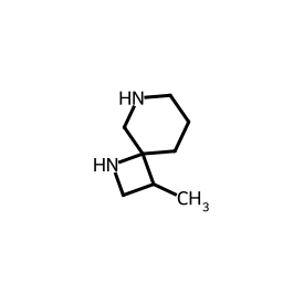 CC1CNC12CCCNC2